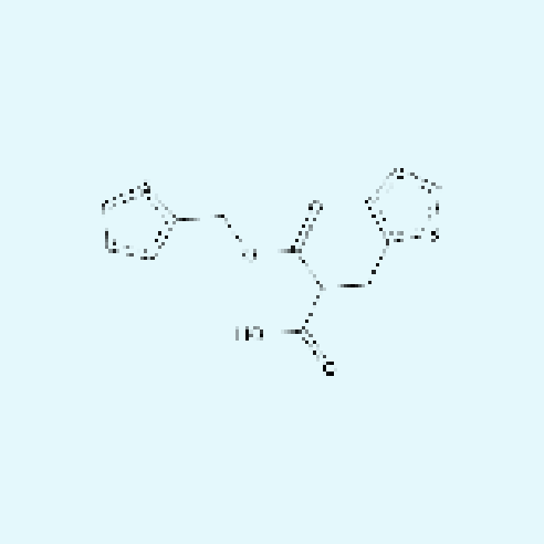 O=C(O)C(Cc1cccs1)C(=O)OCc1cccs1